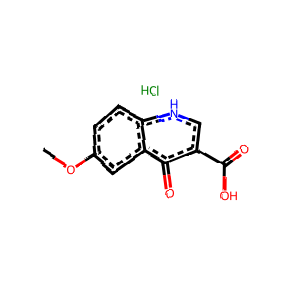 COc1ccc2[nH]cc(C(=O)O)c(=O)c2c1.Cl